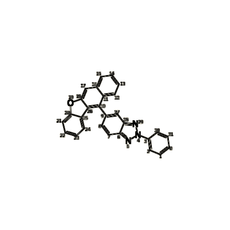 c1ccc(-n2nc3ccc(-c4c5ccccc5cc5oc6ccccc6c45)cc3n2)cc1